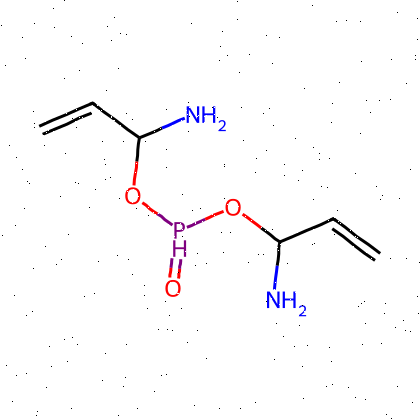 C=CC(N)O[PH](=O)OC(N)C=C